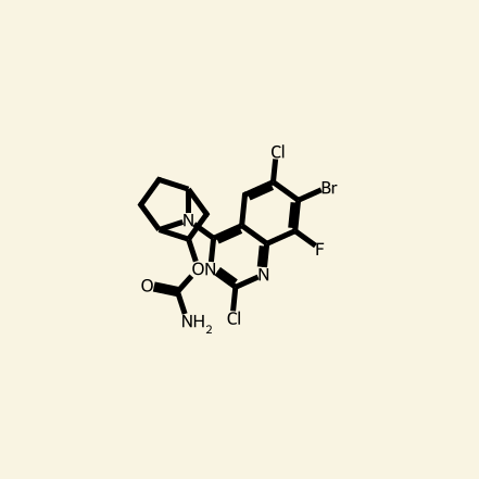 NC(=O)OC1CC2CCC1N2c1nc(Cl)nc2c(F)c(Br)c(Cl)cc12